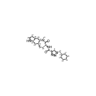 CN1C(=O)[C@@H](NC(=O)c2cn(Cc3ccccc3)nn2)CSc2cc3[nH]ccc3cc21